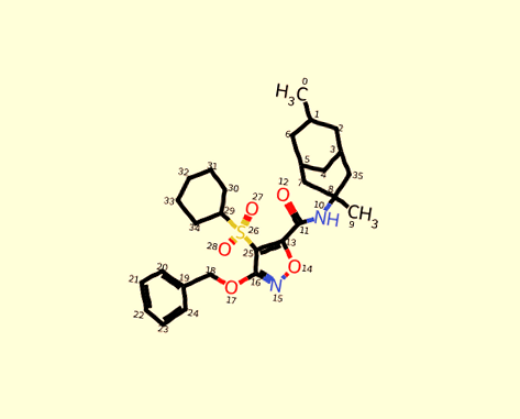 CC1CC2CC(C1)CC(C)(NC(=O)c1onc(OCc3ccccc3)c1S(=O)(=O)C1CCCCC1)C2